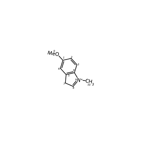 COc1ccc2c(c1)CC=[N+]2C